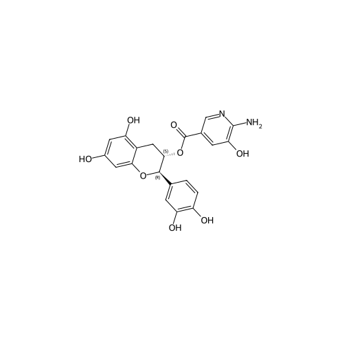 Nc1ncc(C(=O)O[C@H]2Cc3c(O)cc(O)cc3O[C@@H]2c2ccc(O)c(O)c2)cc1O